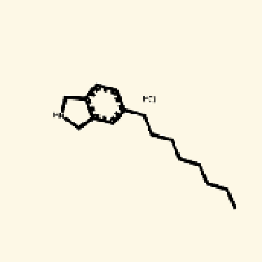 CCCCCCCCc1ccc2c(c1)CNC2.Cl